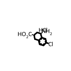 Cl.N[C@@H]1C[C@H](C(=O)O)Cc2ccc(Cl)cc21